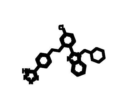 Clc1ccc(-c2nc3ccccc3n2CC2CCCCC2)c(CCc2ccc(-c3nnn[nH]3)cc2)c1